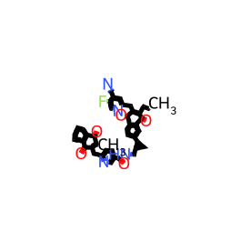 CCCC1=C(Cc2cc(C#N)c(F)cn2)C(=O)c2ccc(C3CC3CNC(=O)c3ccc(CC4=C(C)C(=O)c5ccccc5C4=O)nc3)cc2C1=O